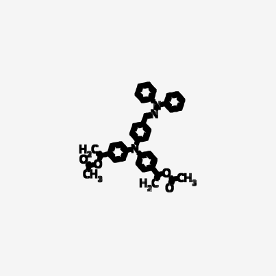 C=C(OC(C)=O)c1ccc(N(c2ccc(C=NN(c3ccccc3)c3ccccc3)cc2)c2ccc(C(=C)OC(C)=O)cc2)cc1